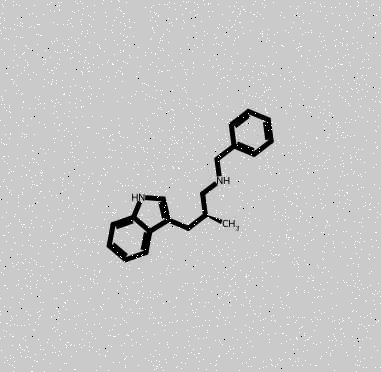 C[C@H](CNCc1ccccc1)Cc1c[nH]c2ccccc12